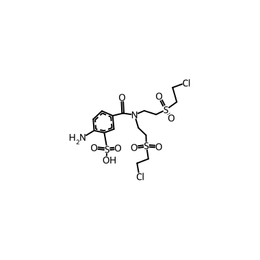 Nc1ccc(C(=O)N(CCS(=O)(=O)CCCl)CCS(=O)(=O)CCCl)cc1S(=O)(=O)O